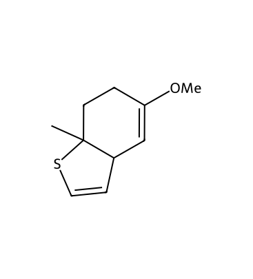 COC1=CC2C=CSC2(C)CC1